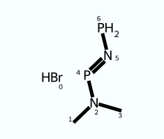 Br.CN(C)P=NP